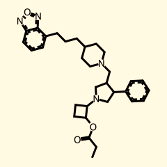 CCC(=O)OC1CCC1N1CC(CN2CCC(CCCc3cccc4nonc34)CC2)C(c2ccccc2)C1